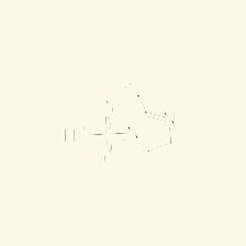 O=S(=O)(O)N1CCN=C1Cl